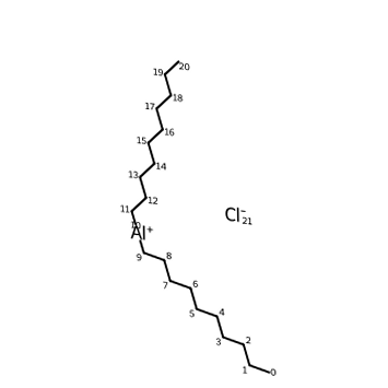 CCCCCCCCC[CH2][Al+][CH2]CCCCCCCCC.[Cl-]